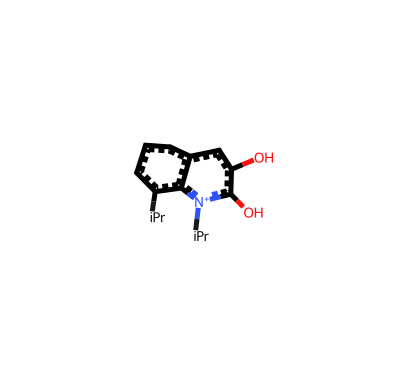 CC(C)c1cccc2cc(O)c(O)[n+](C(C)C)c12